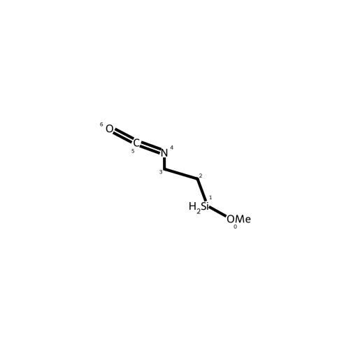 CO[SiH2]CCN=C=O